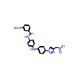 CCN(CC)Cc1cn(-c2ccc(Nc3ccc(NC(=O)c4cccc(OC)c4)cc3)cc2)nn1